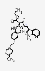 CCOC(=O)C1=C(Nc2ccc(CCN3CCN(C)CC3)cc2C)O/C(=C\c2c[nH]c3ncccc23)C1=O